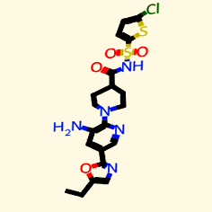 CCc1cnc(-c2cnc(N3CCC(C(=O)NS(=O)(=O)c4ccc(Cl)s4)CC3)c(N)c2)o1